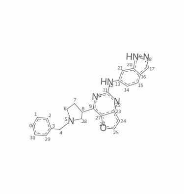 c1ccc(CN2CCC(c3nc(Nc4ccc5cn[nH]c5c4)nc4ccoc34)C2)cc1